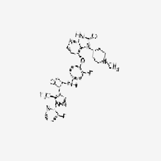 CN1CCC(n2c(=O)[nH]c3nccc(Oc4ccc(NC5COC5c5cnn(-c6ncccc6F)c5C(F)(F)F)cc4F)c32)CC1